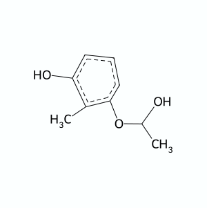 Cc1c(O)cccc1OC(C)O